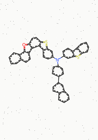 c1ccc2cc(-c3ccc(N(c4ccc5c(c4)sc4ccccc45)c4ccc5c(c4)sc4ccc6oc7c8ccccc8ccc7c6c45)cc3)ccc2c1